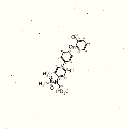 Cc1cc(-c2ccc(Oc3ccccc3Cl)cc2)c(Cl)cc1N(CC(=O)O)S(C)(=O)=O